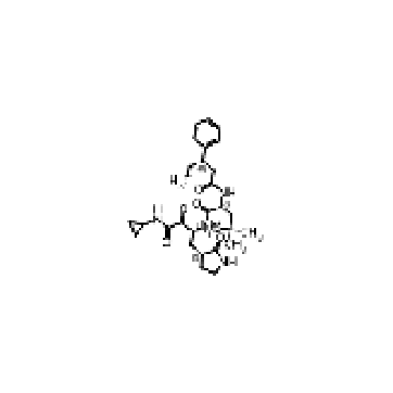 CC[C@H](CC(=O)N[C@@H](CC(C)(C)C)C(=O)NC(C[C@@H]1CCNC1=O)C(=O)C(=O)NC1CC1)c1ccccc1